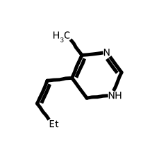 CC/C=C\C1=C(C)N=CNC1